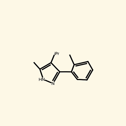 Cc1ccccc1-c1n[nH]c(C)c1C(C)C